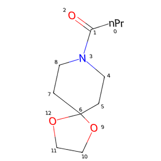 CCCC(=O)N1CCC2(CC1)OCCO2